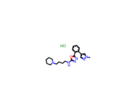 Cl.Cn1cc(-c2ccccc2-c2nnc(NCCCCN3CCCCC3)o2)cn1